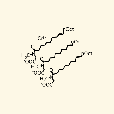 CCCCCCCCC=CCCCCCCCC(=O)N(C)CC(=O)[O-].CCCCCCCCC=CCCCCCCCC(=O)N(C)CC(=O)[O-].CCCCCCCCC=CCCCCCCCC(=O)N(C)CC(=O)[O-].[Cr+3]